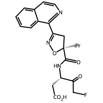 CC(C)[C@@]1(C(=O)N[C@@H](CC(=O)O)C(=O)CF)CC(c2nccc3ccccc23)=NO1